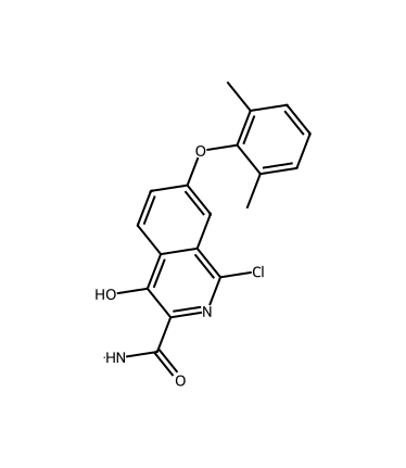 Cc1cccc(C)c1Oc1ccc2c(O)c(C([NH])=O)nc(Cl)c2c1